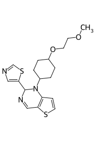 COCCOC1CCC(N2c3ccsc3C=NC2c2cncs2)CC1